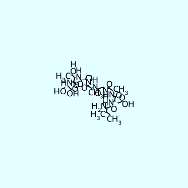 CC[C@H](C)[C@H](N)C(=O)N[C@@H](CC(=O)O)C(=O)N[C@@H](C)C(=O)NCC(=O)N[C@@H](C)C(=O)N1CCC[C@H]1C(=O)N[C@H](C(=O)N[C@@H](CO)C(=O)O)[C@@H](C)O